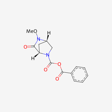 CON1C(=O)[C@@H]2C[C@H]1CN2C(=O)OC(=O)c1ccccc1